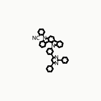 N#Cc1ccccc1-n1c2ccccc2c2c1ccc1c3ccccc3n(-c3cccc(-c4cc(-c5ccccc5)nc(-c5ccccc5)n4)c3)c12